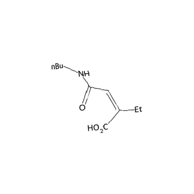 CCCCNC(=O)C=C(CC)C(=O)O